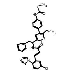 CCc1nnc(C(Cc2ccccc2)NC(=O)/C=C/c2cc(Cl)ccc2-n2cnnn2)cc1-c1ccc(NC(=O)OC)cc1